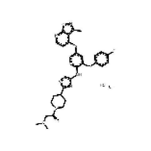 Cc1noc2nccc(Sc3cnc(Nc4nc(C5CCN(C(=O)CN(C)C)CC5)ns4)c(Oc4ccc(F)cc4)c3)c12.Cl.Cl